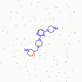 c1cc(N2CCNCC2)nc(N2CCN(CC3CNCCO3)CC2)n1